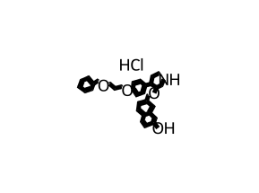 Cl.Oc1ccc2ccc(COC3CNCCC3c3ccc(OCCCOCc4ccccc4)cc3)cc2c1